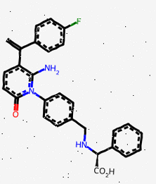 C=C(c1ccc(F)cc1)c1ccc(=O)n(-c2ccc(CN[C@H](C(=O)O)c3ccccc3)cc2)c1N